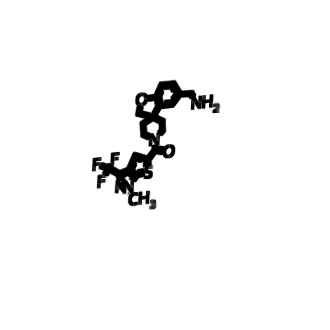 Cn1nc(C(F)(F)F)c2cc(C(=O)N3CCC4(CC3)COc3ccc(CN)cc34)sc21